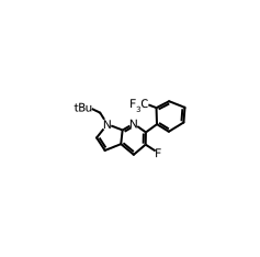 CC(C)(C)Cn1ccc2cc(F)c(-c3ccccc3C(F)(F)F)nc21